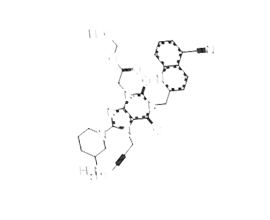 CC#CCn1c(N2CCCC(N)C2)nc2c1c(=O)n(Cc1ccc3c(C#N)cccc3n1)c(=O)n2CC(=O)OCC